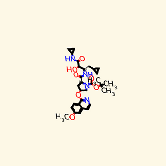 COc1ccc2c(OC3C[C@@H](C(=O)N[C@@H](CC4CC4)C(O)C(=O)NC4CC4)N(C(=O)OC(C)(C)C)C3)nccc2c1